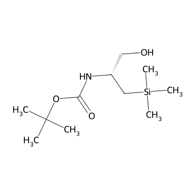 CC(C)(C)OC(=O)N[C@H](CO)C[Si](C)(C)C